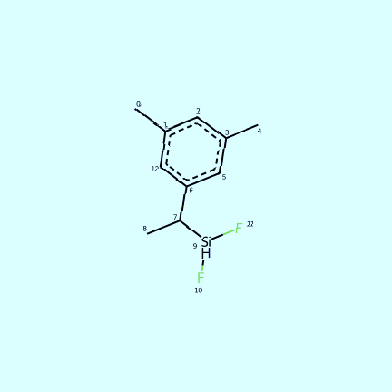 Cc1cc(C)cc(C(C)[SiH](F)F)c1